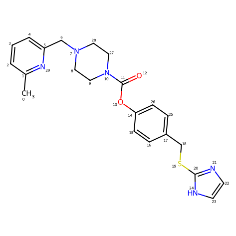 Cc1cccc(CN2CCN(C(=O)Oc3ccc(CSc4ncc[nH]4)cc3)CC2)n1